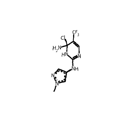 Cn1cc(NC2=NC=C(C(F)(F)F)C(N)(Cl)N2)cn1